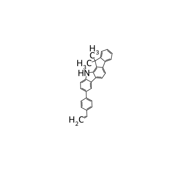 C=Cc1ccc(-c2ccc3[nH]c4c5c(ccc4c3c2)-c2ccccc2C5(C)C)cc1